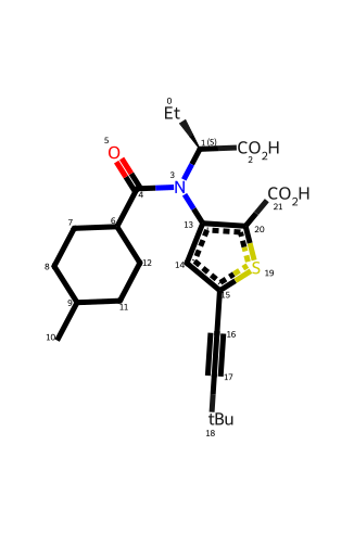 CC[C@@H](C(=O)O)N(C(=O)C1CCC(C)CC1)c1cc(C#CC(C)(C)C)sc1C(=O)O